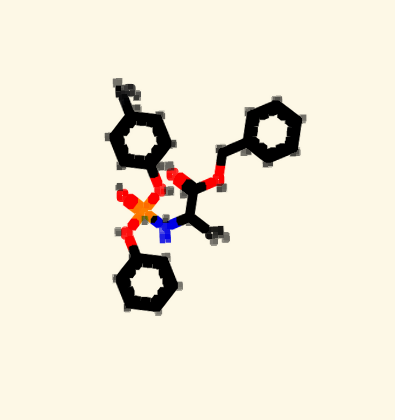 CC(NP(=O)(Oc1ccccc1)Oc1ccc([N+](=O)[O-])cc1)C(=O)OCc1ccccc1